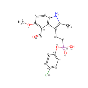 COc1ccc2[nH]c(C)c(CCP(=O)(O)Oc3ccc(Cl)cc3)c2c1C=O